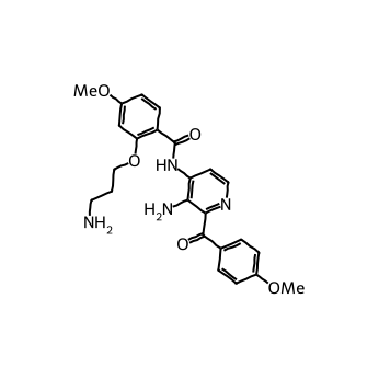 COc1ccc(C(=O)c2nccc(NC(=O)c3ccc(OC)cc3OCCCN)c2N)cc1